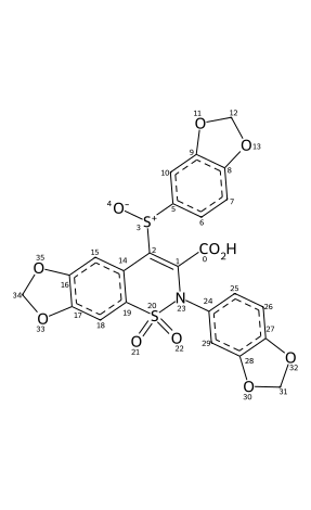 O=C(O)C1=C([S+]([O-])c2ccc3c(c2)OCO3)c2cc3c(cc2S(=O)(=O)N1c1ccc2c(c1)OCO2)OCO3